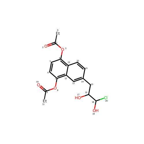 CCC(=O)Oc1ccc(OC(=O)CC)c2cc(CC(O)C(O)Cl)ccc12